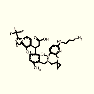 CCCCNc1ccc2c(n1)OC1(CC1)CN(Cc1cc(C(CC(=O)O)c3ccn4c(C(F)(F)F)nnc4c3C)ccc1C)[S+]2[O-]